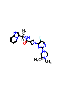 C[C@H]1CN(c2ncc(F)c(N3CC(C(=O)NC(C)(C)c4cnc5ccccn45)C3)n2)CCN1C